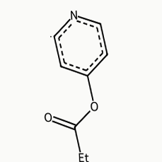 CCC(=O)Oc1c[c]ncc1